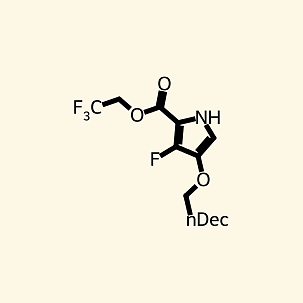 CCCCCCCCCCCOc1c[nH]c(C(=O)OCC(F)(F)F)c1F